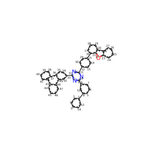 c1ccc(-c2cccc(-c3nc(-c4ccc(-c5cccc6c5oc5ccccc56)cc4)nc(-c4ccc5c6ccccc6c6ccccc6c5c4)n3)c2)cc1